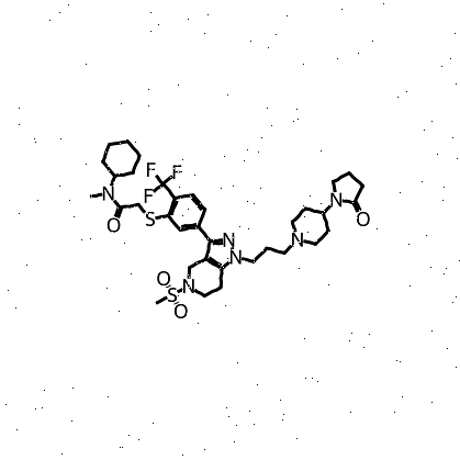 CN(C(=O)CSc1cc(-c2nn(CCCN3CCC(N4CCCC4=O)CC3)c3c2CN(S(C)(=O)=O)CC3)ccc1C(F)(F)F)C1CCCCC1